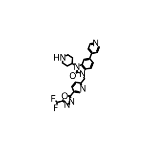 O=c1n(Cc2ccc(-c3nnc(C(F)F)o3)cn2)c2ccc(-c3ccncc3)cc2n1C1CCNCC1